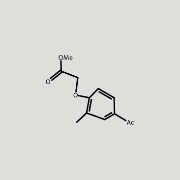 COC(=O)COc1ccc(C(C)=O)cc1C